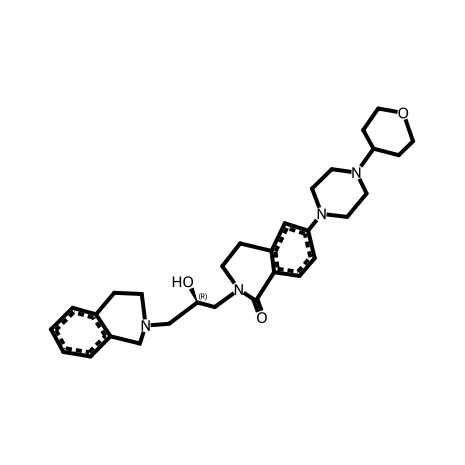 O=C1c2ccc(N3CCN(C4CCOCC4)CC3)cc2CCN1C[C@H](O)CN1CCc2ccccc2C1